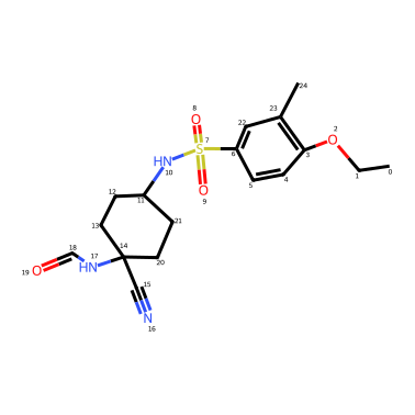 CCOc1ccc(S(=O)(=O)NC2CCC(C#N)(NC=O)CC2)cc1C